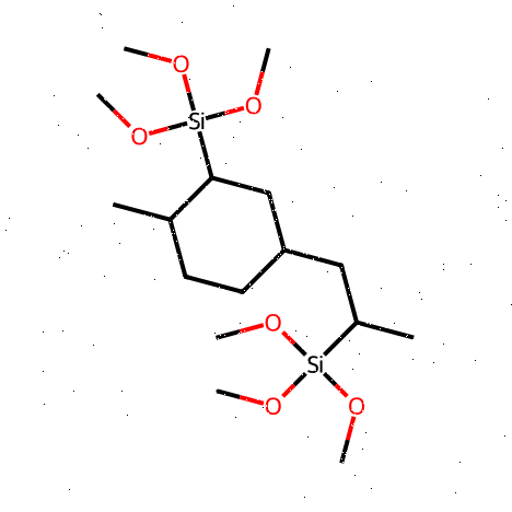 CO[Si](OC)(OC)C(C)CC1CCC(C)C([Si](OC)(OC)OC)C1